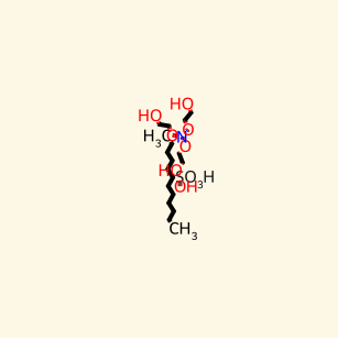 CCCCCCCCCCCC.O=S(=O)(O)O.OCCON(OCCO)OCCO